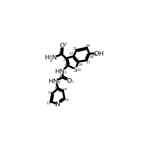 NC(=O)c1c(NC(=O)Nc2ccncc2)sc2cc(O)ccc12